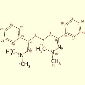 CN(C)N=C(CCCC(=NN(C)C)c1ccccc1)c1ccccc1